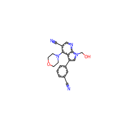 N#Cc1cccc(-c2cn(CO)c3ncc(C#N)c(N4CCOCC4)c23)c1